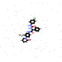 Cc1cc(NC(=O)[C@H](NC(=O)Nc2ccc(Cl)cc2)c2ccccc2)ccc1N1CCCCC1=O